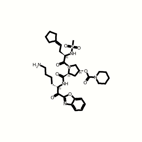 CS(=O)(=O)N[C@H](CC=C1CCCC1)C(=O)N1C[C@H](OC(=O)N2CCCCC2)C[C@H]1C(=O)N[C@@H](CCCCN)C(=O)c1nc2ccccc2o1